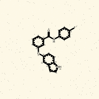 O=C(Nc1ccc(F)cc1)c1cccc(Oc2ccc3[nH]ccc3c2)c1